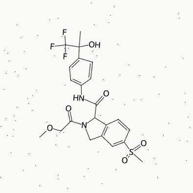 COCC(=O)N1Cc2cc(S(C)(=O)=O)ccc2C1C(=O)Nc1ccc(C(C)(O)C(F)(F)F)cc1